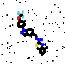 Cc1cccc(C)c1NC(=S)NN=Cc1ccc2c(cnn2-c2ccc(OC(F)(F)F)cc2)c1